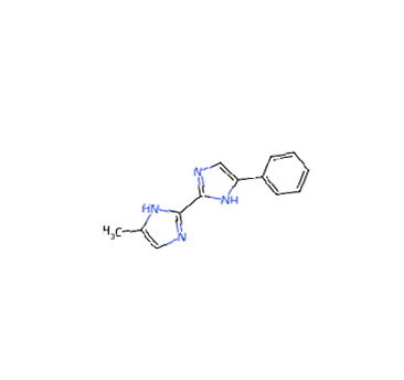 Cc1cnc(-c2ncc(-c3ccccc3)[nH]2)[nH]1